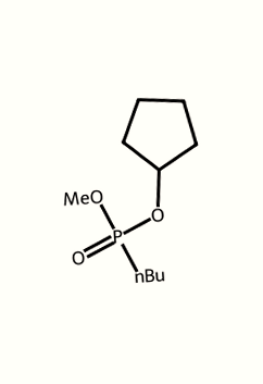 CCCCP(=O)(OC)OC1CCCC1